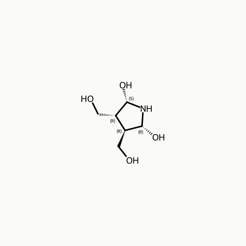 OC[C@H]1[C@H](CO)[C@@H](O)N[C@H]1O